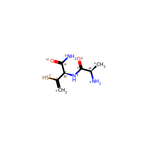 C=C(S)[C@H](NC(=O)[C@@H](C)N)C(N)=O